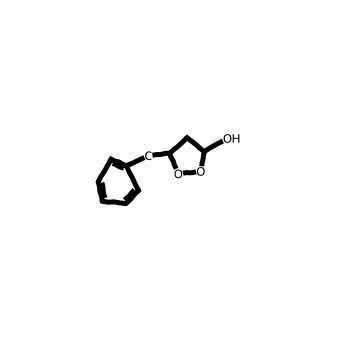 OC1CC(Cc2ccccc2)OO1